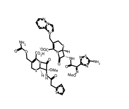 CO/N=C(\C(=O)N[C@@H]1C(=O)N2C(C(=O)[O-])=C(C[n+]3ccn4ncccc43)CS[C@H]12)c1nsc(N)n1.CO[C@@]1(NC(=O)Cc2cccs2)C(=O)N2C(C(=O)O)=C(COC(N)=O)CS[C@@H]21